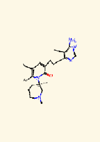 CC(=O)c1c(C)cc(CCc2ncnc(N)c2C)c(=O)n1[C@]1(C)CCCN(C)C1